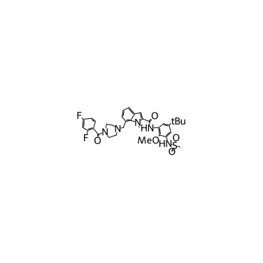 COc1c(NC(=O)c2cc3cccc(CN4CCN(C(=O)c5ccc(F)cc5F)CC4)c3n2C)cc(C(C)(C)C)cc1NS(C)(=O)=O